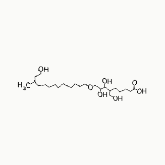 CC(CCO)CCCCCCCCCCOCC(O)C(O)C(CO)CCCCC(=O)O